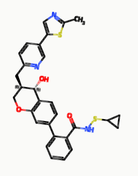 Cc1ncc(-c2ccc(C[C@@H]3COc4cc(-c5ccccc5C(=O)NSC5CC5)ccc4[C@H]3O)nc2)s1